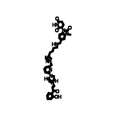 Cn1c(=O)n(C2CCC(=O)NC2=O)c2ccc(CNCCCCc3cn(Cc4cccc(N5C[C@H]6C[C@@H]5CN6/C=C/C(=O)c5ccccc5O)n4)nn3)cc21